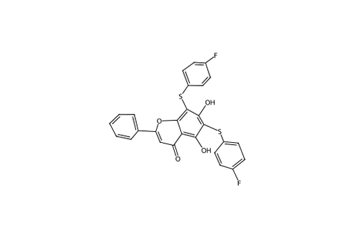 O=c1cc(-c2ccccc2)oc2c(Sc3ccc(F)cc3)c(O)c(Sc3ccc(F)cc3)c(O)c12